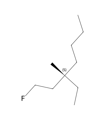 CCCC[C@](C)(CC)CCF